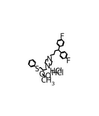 CC(=O)OC(CSc1ccccc1)CN1CCN(CCCC(c2ccc(F)cc2)c2ccc(F)cc2)CC1.Cl.Cl